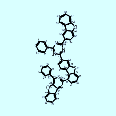 c1ccc(-c2nc(-c3ccc4c(c3)sc3cccc(-c5nc(-c6ccccc6)c6oc7ccccc7c6n5)c34)nc(-c3ccc4oc5ccccc5c4c3)n2)cc1